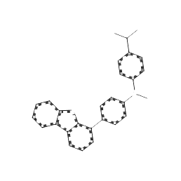 CC(C)c1ccc(N(C)c2ccc(-c3cccc4c3oc3ccccc34)cc2)cc1